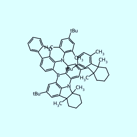 Cc1ccc(C(C)(C)C)cc1C1(C)CCCCC1(C)Cc1cc2c3c(c1)N1c4c(cc(C(C)(C)C)cc4C4(C)CCCCC14C)B3c1ccc3c(oc4ccccc43)c1N2c1c(C)cc(C(C)(C)C)cc1C